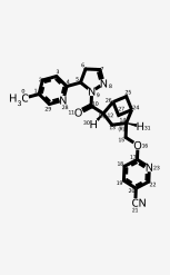 Cc1ccc(C2CC=NN2C(=O)[C@H]2C[C@@H](COc3ccc(C#N)cn3)C3CC2C3)nc1